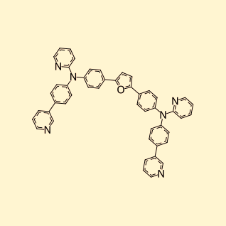 c1ccc(N(c2ccc(-c3cccnc3)cc2)c2ccc(-c3ccc(-c4ccc(N(c5ccc(-c6cccnc6)cc5)c5ccccn5)cc4)o3)cc2)nc1